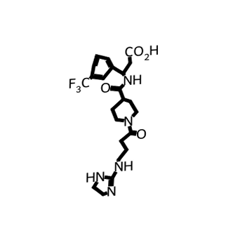 O=C(O)CC(NC(=O)C1CCN(C(=O)CCCNC2=NCCN2)CC1)c1cccc(C(F)(F)F)c1